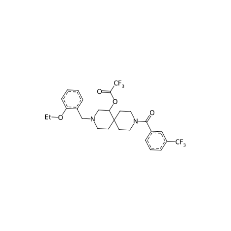 CCOc1ccccc1CN1CCC2(CCN(C(=O)c3cccc(C(F)(F)F)c3)CC2)C(OC(=O)C(F)(F)F)C1